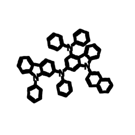 c1ccc(N(c2ccc3c4ccccc4n(-c4ccccc4)c3c2)c2cc(N(c3ccccc3)c3ccccc3)c3c4ccccc4n(-c4ccc5ccccc5c4)c3c2)cc1